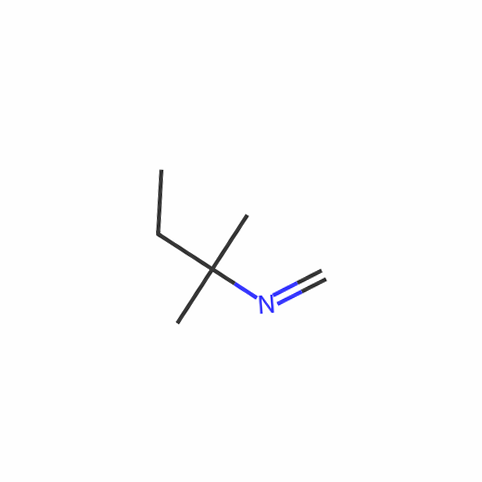 C=NC(C)(C)CC